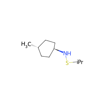 CC(C)SN[C@H]1CC[C@H](C)CC1